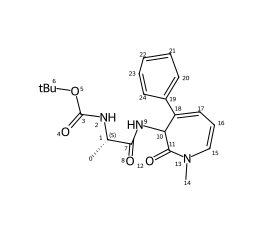 C[C@H](NC(=O)OC(C)(C)C)C(=O)NC1C(=O)N(C)C=CC=C1c1ccccc1